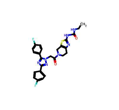 CCNC(=O)Nc1nc2c(s1)CN(C(=O)Cn1nc(-c3ccc(F)cc3)nc1-c1ccc(F)cc1)CC2